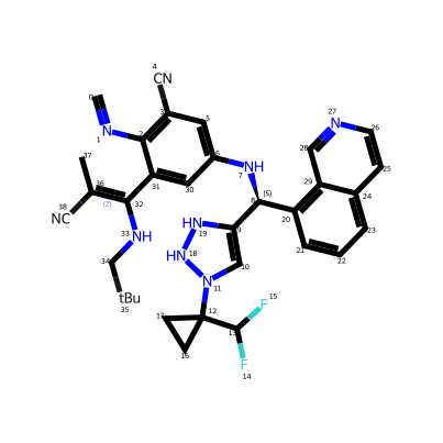 C=Nc1c(C#N)cc(N[C@H](C2=CN(C3(C(F)F)CC3)NN2)c2cccc3ccncc23)cc1/C(NCC(C)(C)C)=C(\C)C#N